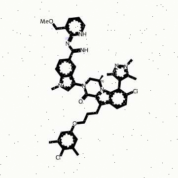 COCc1ccc[nH]/c1=N\C(=N)c1ccc2c(c1)c(N1C[C@@H](C)n3c(c(CCCOc4cc(C)c(Cl)c(C)c4)c4ccc(Cl)c(-c5c(C)nn(C)c5C)c43)C1=O)cn2C